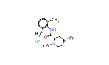 CCC[C@@H]1CCN(CCC)[C@H](C(=O)Nc2c(C)cccc2C)C1.Cl